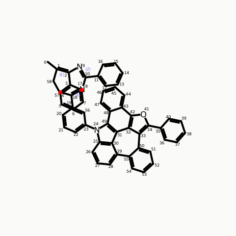 C\C1=C(c2ccccc2)/N=C(c2ccccc2)\N=C(\c2cccc(-n3c4cccc5c4c4c6c(c(-c7ccccc7)oc6c6ccccc6c43)-c3ccccc3-5)c2)CC1